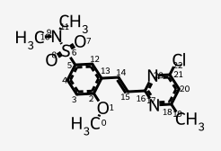 COc1ccc(S(=O)(=O)N(C)C)cc1C=Cc1nc(C)cc(Cl)n1